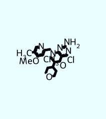 COc1c(C)cnc(CN2CC(C3CCOCC3)C(=O)c3c(Cl)nc(N)nc32)c1C